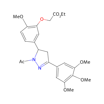 CCOC(=O)COc1cc(C2CC(c3cc(OC)c(OC)c(OC)c3)=NN2C(C)=O)ccc1OC